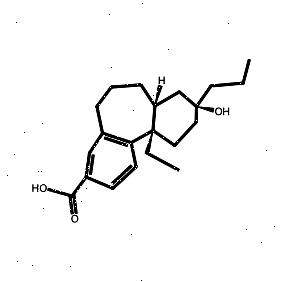 CCC[C@]1(O)CC[C@]2(CC)c3ccc(C(=O)O)cc3CCC[C@@H]2C1